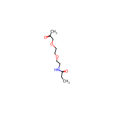 CCC(=O)NCCOCCOCC(C)=O